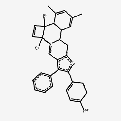 CCCC1=CC=C(c2sc3c(c2-c2ccccc2)C=[N+]2C(C3)C3C=C(C)C=C(C)C3C3(CC)C=CC23CC)CC1